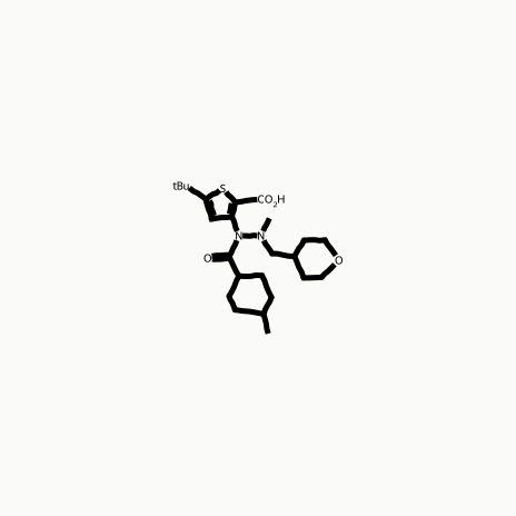 CC1CCC(C(=O)N(c2cc(C(C)(C)C)sc2C(=O)O)N(C)CC2CCOCC2)CC1